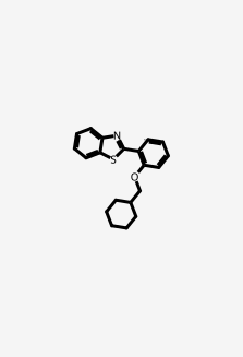 [c]1cccc(OCC2CCCCC2)c1-c1nc2ccccc2s1